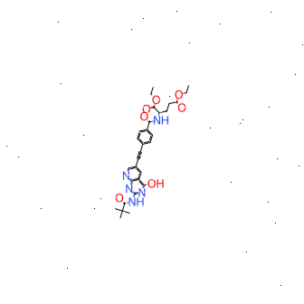 CCOC(=O)CC[C@@H](NC(=O)c1ccc(C#Cc2cnc3nc(NC(=O)C(C)(C)C)nc(O)c3c2)cc1)C(=O)OCC